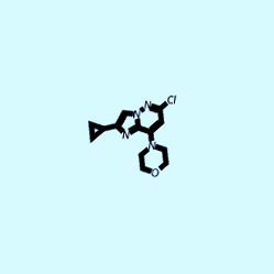 Clc1cc(N2CCOCC2)c2nc(C3CC3)cn2n1